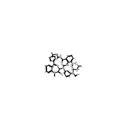 CC(C)NC(=O)NC(=O)c1cccc([N+](=O)[O-])c1NC(=O)N(c1cccc(N(C=O)C(=O)NC(C)C)c1)C1N=C(c2ccccc2)c2ccccc2N(C)C1=O